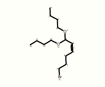 CCCCOC(/C=C\CCCBr)OCCCC